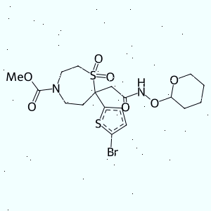 COC(=O)N1CCC(CC(=O)NOC2CCCCO2)(c2ccc(Br)s2)S(=O)(=O)CC1